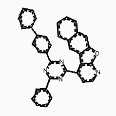 c1ccc(-c2ccc(-c3nc(-c4ccccc4)nc(-c4ccnc5oc6cc7ccccc7cc6c45)n3)cc2)cc1